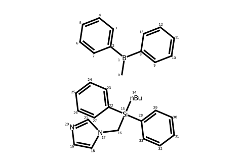 CB(c1ccccc1)c1ccccc1.CCCC[Si](Cn1ccnc1)(c1ccccc1)c1ccccc1